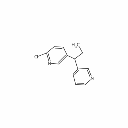 CCC(c1cccnc1)c1ccc(Cl)nc1